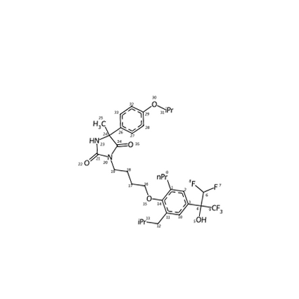 CCCc1cc(C(O)(C(F)F)C(F)(F)F)cc(CC(C)C)c1OCCCCN1C(=O)NC(C)(c2ccc(OC(C)C)cc2)C1=O